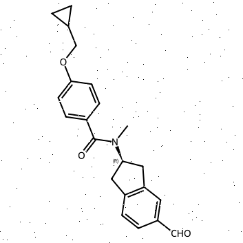 CN(C(=O)c1ccc(OCC2CC2)cc1)[C@@H]1Cc2ccc(C=O)cc2C1